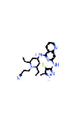 CCC1CC(Nc2nc(Nc3n[nH]c(C)c3F)cc3ncccc23)CC(CC)N1CCC#N